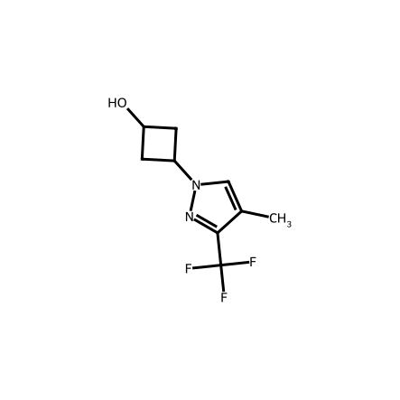 Cc1cn(C2CC(O)C2)nc1C(F)(F)F